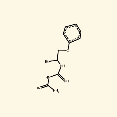 CCC(COc1ccccc1)NC(=N)NC(=N)N